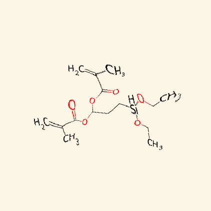 C=C(C)C(=O)OC(CC[SiH](OCC)OCC)OC(=O)C(=C)C